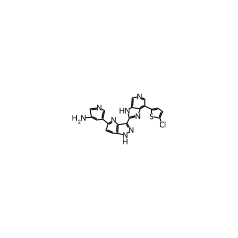 Nc1cncc(-c2ccc3[nH]nc(-c4nc5c(-c6ccc(Cl)s6)cncc5[nH]4)c3n2)c1